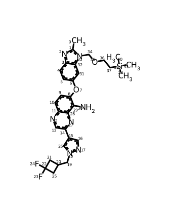 Cc1nc2ccc(Oc3ccc4ncc(-c5cnn(CC6CC(F)(F)C6)c5)nc4c3N)cc2n1COCC[Si](C)(C)C